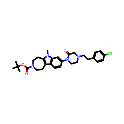 Cn1c2c(c3ccc(N4CCN(CCc5ccc(Cl)cc5)CC4=O)cc31)CCN(C(=O)OC(C)(C)C)CC2